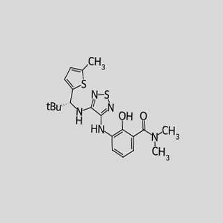 Cc1ccc([C@H](Nc2nsnc2Nc2cccc(C(=O)N(C)C)c2O)C(C)(C)C)s1